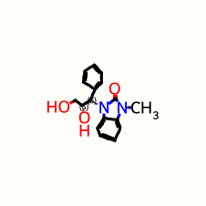 Cn1c(=O)n([C@@H](c2ccccc2)[C@H](O)CO)c2ccccc21